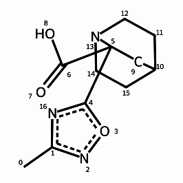 Cc1noc(C2(C(=O)O)CC3CCN2CC3)n1